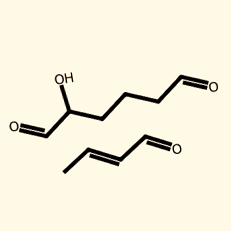 CC=CC=O.O=CCCCC(O)C=O